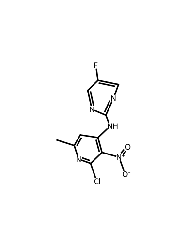 Cc1cc(Nc2ncc(F)cn2)c([N+](=O)[O-])c(Cl)n1